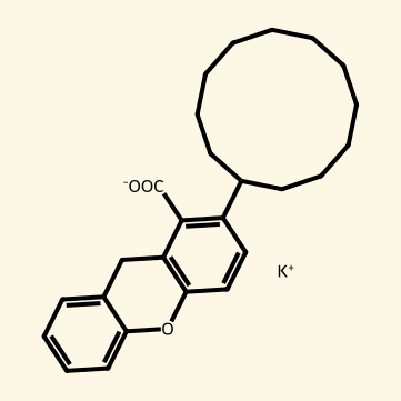 O=C([O-])c1c(C2CCCCCCCCCCC2)ccc2c1Cc1ccccc1O2.[K+]